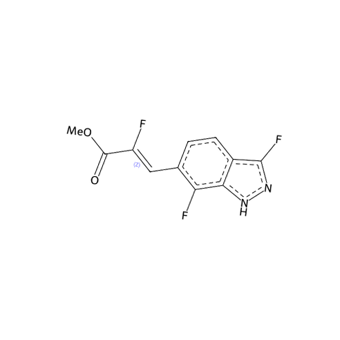 COC(=O)/C(F)=C/c1ccc2c(F)n[nH]c2c1F